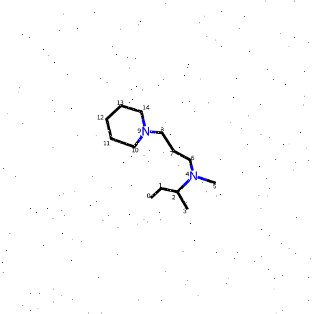 CCC(C)N(C)CCCN1CCCCC1